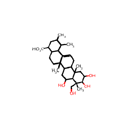 CC1CC(C(=O)O)C2CCC3(C)C(=CCC4C3CC(O)C3C(C)(CO)C(O)C(O)CC43C)C2C1C